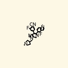 CN1CCC(Cn2cnc3c(-c4ccc(C#N)c(F)c4)c(-c4ccc5c(ccn5C)c4F)ncc32)CC1